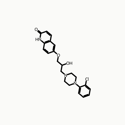 O=c1ccc2cc(OCC(O)CN3CCN(c4ccccc4Cl)CC3)ccc2[nH]1